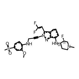 COc1cc(S(C)(=O)=O)ccc1NCC#Cn1nc2c(N[C@@H]3CCN(C)C[C@@H]3F)cccc2c1C=C(F)F